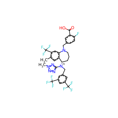 Cc1cc2c(cc1C(F)(F)F)N(Cc1ccc(F)c(C(=O)O)c1)CCC[C@@H]2N(Cc1cc(C(F)(F)F)cc(C(F)(F)F)c1)c1nnn(C)n1